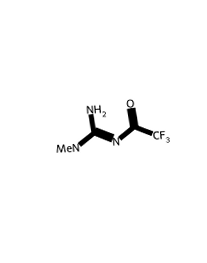 CN/C(N)=N/C(=O)C(F)(F)F